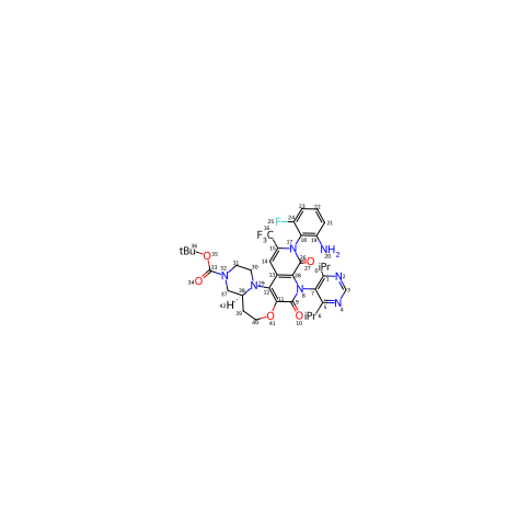 CC(C)c1ncnc(C(C)C)c1-n1c(=O)c2c(c3cc(C(F)(F)F)n(-c4c(N)cccc4F)c(=O)c31)N1CCN(C(=O)OC(C)(C)C)C[C@@H]1CCO2